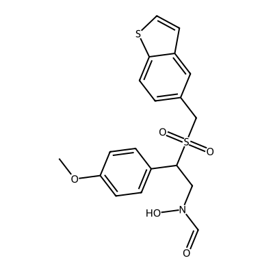 COc1ccc(C(CN(O)C=O)S(=O)(=O)Cc2ccc3sccc3c2)cc1